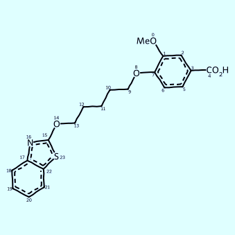 COc1cc(C(=O)O)ccc1OCCCCCOc1nc2ccccc2s1